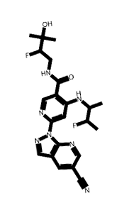 CC(F)C(C)Nc1cc(-n2ncc3cc(C#N)cnc32)ncc1C(=O)NCC(F)C(C)(C)O